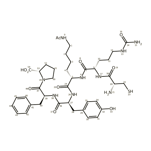 CC(=O)NCCCC[C@H](NC(=O)[C@H](CCCNC(N)=O)NC(=O)[C@@H](N)CS)C(=O)N[C@@H](Cc1ccc(O)cc1)C(=O)N[C@@H](Cc1ccccc1)C(=O)N1CCC[C@H]1C(=O)O